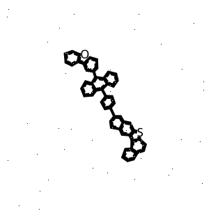 c1ccc2c(c1)ccc1sc3cc4cc(-c5ccc(-c6c7ccccc7c(-c7ccc8oc9ccccc9c8c7)c7ccccc67)cc5)ccc4cc3c12